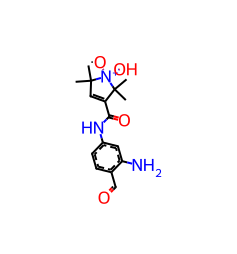 CC1(C)C=C(C(=O)Nc2ccc(C=O)c(N)c2)C(C)(C)[N+]1([O])O